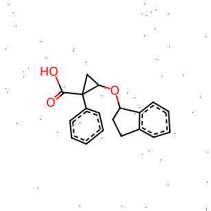 O=C(O)C1(c2ccccc2)CC1OC1CCc2ccccc21